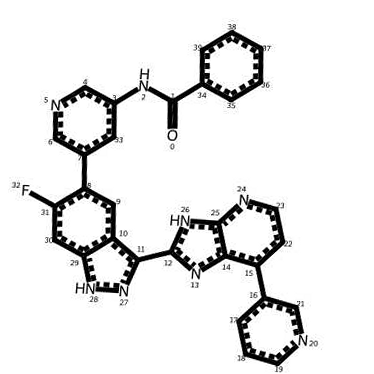 O=C(Nc1cncc(-c2cc3c(-c4nc5c(-c6cccnc6)ccnc5[nH]4)n[nH]c3cc2F)c1)c1ccccc1